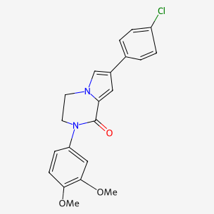 COc1ccc(N2CCn3cc(-c4ccc(Cl)cc4)cc3C2=O)cc1OC